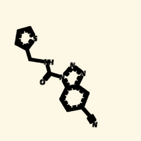 N#Cc1ccc2c(c1)nnn2C(=O)NCc1cccs1